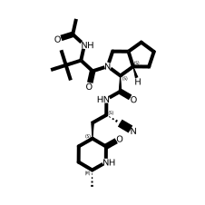 CC(=O)NC(C(=O)N1CC2CCC[C@@H]2[C@H]1C(=O)N[C@H](C#N)C[C@@H]1CC[C@@H](C)NC1=O)C(C)(C)C